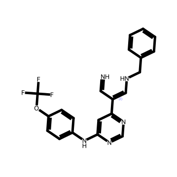 N=C/C(=C\NCc1ccccc1)c1cc(Nc2ccc(OC(F)(F)F)cc2)ncn1